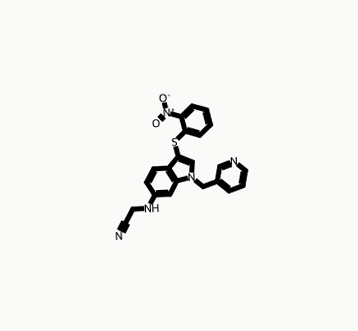 N#CCNc1ccc2c(Sc3ccccc3[N+](=O)[O-])cn(Cc3cccnc3)c2c1